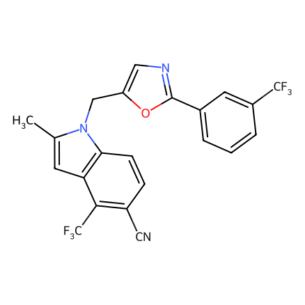 Cc1cc2c(C(F)(F)F)c(C#N)ccc2n1Cc1cnc(-c2cccc(C(F)(F)F)c2)o1